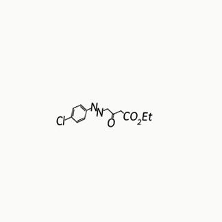 CCOC(=O)CC(=O)CN=Nc1ccc(Cl)cc1